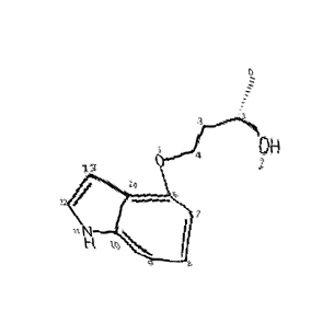 C[C@H](O)CCOc1cccc2[nH]ccc12